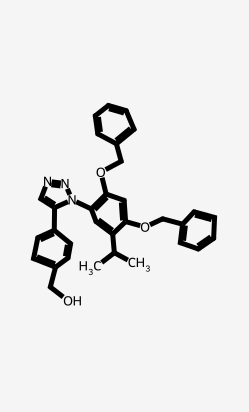 CC(C)c1cc(-n2nncc2-c2ccc(CO)cc2)c(OCc2ccccc2)cc1OCc1ccccc1